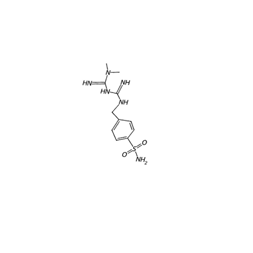 CN(C)C(=N)NC(=N)NCc1ccc(S(N)(=O)=O)cc1